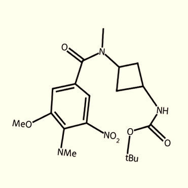 CNc1c(OC)cc(C(=O)N(C)C2CC(NC(=O)OC(C)(C)C)C2)cc1[N+](=O)[O-]